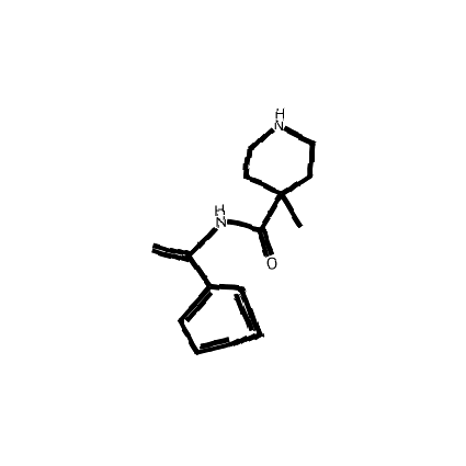 C=C(NC(=O)C1(C)CCNCC1)c1ccccc1